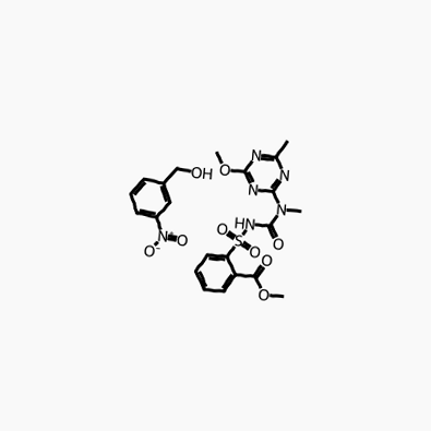 COC(=O)c1ccccc1S(=O)(=O)NC(=O)N(C)c1nc(C)nc(OC)n1.O=[N+]([O-])c1cccc(CO)c1